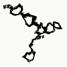 CC(C)N1CCN(c2ccc(-c3nc4c(c(NCCCN5CCOCC5)n3)COC3(CCCC3)C4)cc2)CC1